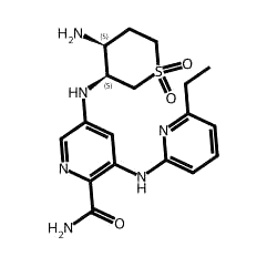 CCc1cccc(Nc2cc(N[C@@H]3CS(=O)(=O)CC[C@@H]3N)cnc2C(N)=O)n1